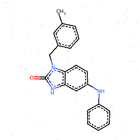 Cc1cccc(Cn2c(=O)[nH]c3cc(Nc4ccccc4)ccc32)c1